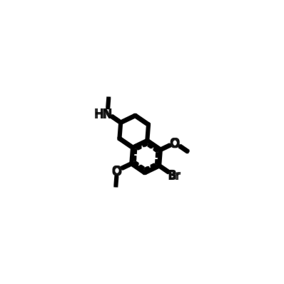 CNC1CCc2c(c(OC)cc(Br)c2OC)C1